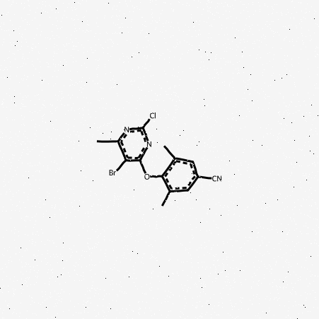 Cc1cc(C#N)cc(C)c1Oc1nc(Cl)nc(C)c1Br